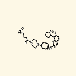 CC(=O)NCCCC(=O)N1CCN(c2ccc(Nc3ncc4ccc(O)c(C5CCCC5)c4n3)cc2)CC1